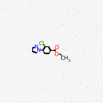 CCOC(=O)c1ccc(-n2cccn2)c(Cl)c1